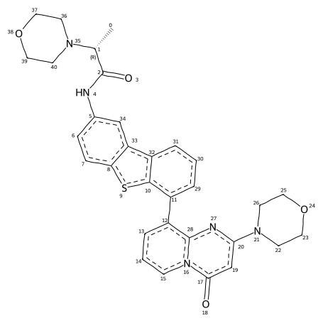 C[C@H](C(=O)Nc1ccc2sc3c(-c4cccn5c(=O)cc(N6CCOCC6)nc45)cccc3c2c1)N1CCOCC1